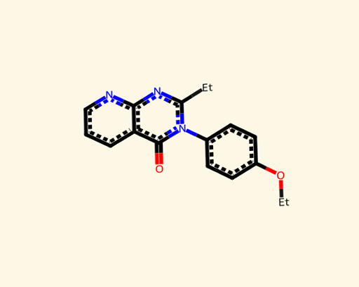 CCOc1ccc(-n2c(CC)nc3ncccc3c2=O)cc1